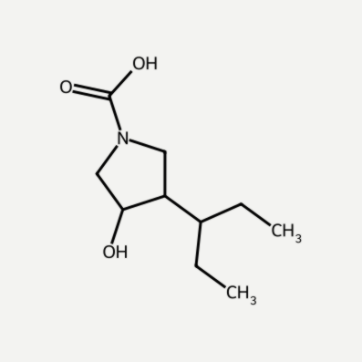 CCC(CC)C1CN(C(=O)O)CC1O